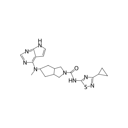 CN(c1ncnc2[nH]ccc12)C1CC2CN(C(=O)Nc3nc(C4CC4)ns3)CC2C1